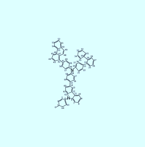 CC1C=CC(n2c3ccccc3c3cc(-c4ccc(N(c5ccc(-c6ccccc6-c6ccccc6)cc5)c5ccc(-c6cccc7c6ccc6ccccc67)cc5)cc4)ccc32)=CC1